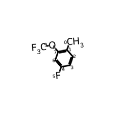 Cc1ccc(F)cc1OC(F)(F)F